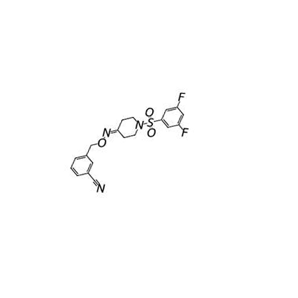 N#Cc1cccc(CON=C2CCN(S(=O)(=O)c3cc(F)cc(F)c3)CC2)c1